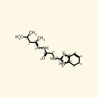 C/C(CC(C)C)=N\NC(=O)CNc1nc2c([nH]1)CCC=C2